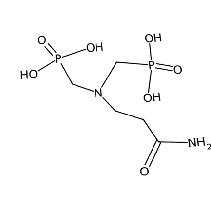 NC(=O)CCN(CP(=O)(O)O)CP(=O)(O)O